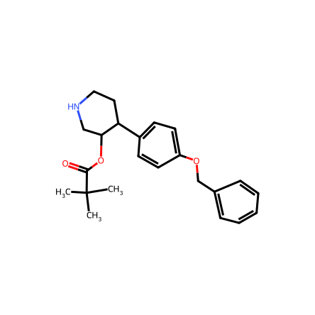 CC(C)(C)C(=O)OC1CNCCC1c1ccc(OCc2ccccc2)cc1